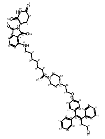 O=C1CCC(N2C(=O)c3cccc(NCCCCCCC(=O)N4CCN(CCOc5ccc(C(=C(CCCl)c6ccccc6)c6ccccc6)cc5)CC4)c3C2=O)C(=O)N1